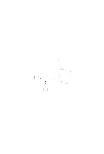 NC(N)=O.O=c1nccc[nH]1